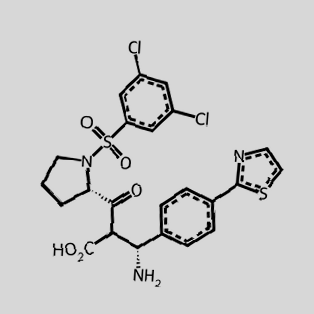 N[C@@H](c1ccc(-c2nccs2)cc1)C(C(=O)O)C(=O)[C@@H]1CCCN1S(=O)(=O)c1cc(Cl)cc(Cl)c1